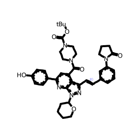 CC(C)(C)OC(=O)N1CCN(C(=O)c2cc(-c3ccc(O)cc3)nc3c2c(/C=C/c2cccc(N4CCCC4=O)c2)nn3C2CCCCO2)CC1